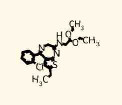 CCOC(CNC1=Nc2sc(CC)cc2C(c2ccccc2Cl)=NC1)OCC